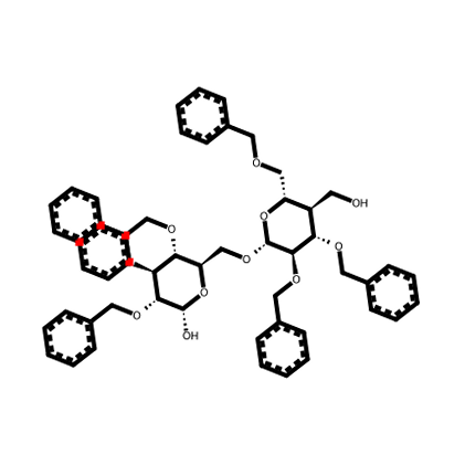 OC[C@H]1[C@H](OCc2ccccc2)[C@@H](OCc2ccccc2)[C@H](OC[C@H]2O[C@H](O)[C@H](OCc3ccccc3)[C@@H](OCc3ccccc3)[C@@H]2OCc2ccccc2)O[C@@H]1COCc1ccccc1